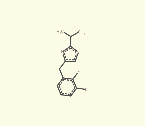 CC(C)c1nc(Cc2cccc(Cl)c2F)cs1